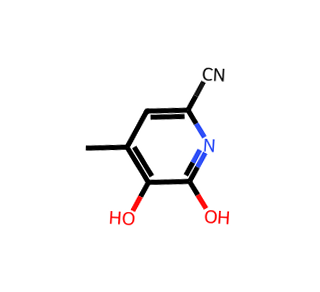 Cc1cc(C#N)nc(O)c1O